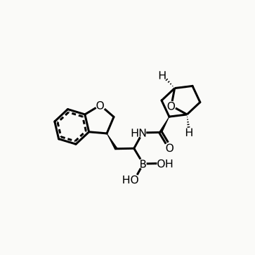 O=C(NC(C[C@@H]1COc2ccccc21)B(O)O)[C@H]1C[C@H]2CC[C@@H]1O2